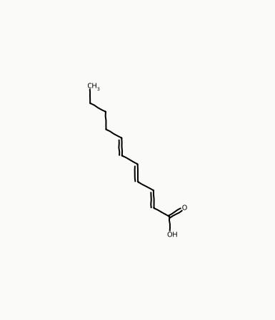 CCCC/C=C/C=C/C=C/C(=O)O